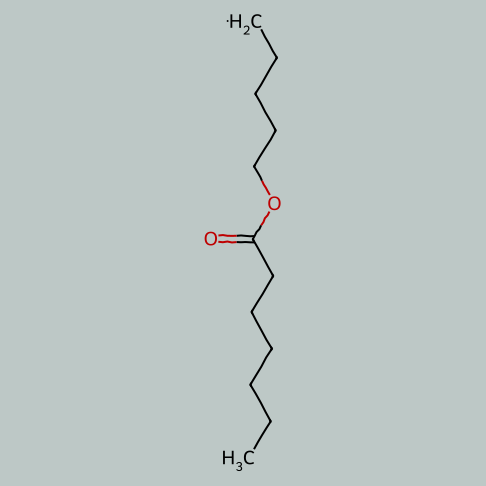 [CH2]CCCCOC(=O)CCCCCC